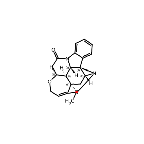 CO[C@]12C[C@H]3N4CC[C@@]35c3ccccc3N3C(=O)C[C@H](OCC=C1C4)[C@H]2[C@H]35